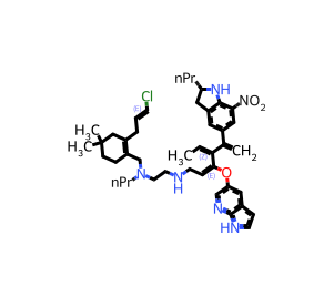 C=C(C(=C/C)/C(=C\CNCCN(CCC)CC1=C(C/C=C/Cl)CC(C)(C)CC1)Oc1cnc2[nH]ccc2c1)c1cc2c(c([N+](=O)[O-])c1)NC(CCC)C2